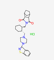 Cl.O=C1C2C3CCC(C3)C2C(=O)N1C[C@@H]1CCCC[C@H]1CN1CCN(c2nsc3ccccc23)CC1